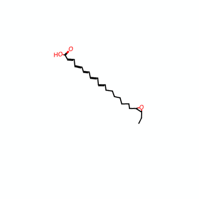 CCC1OC1CCCCCCC/C=C/C=C/C=C/C=C/C=C/C(=O)O